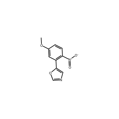 COc1ccc([N+](=O)[O-])c(-c2cnco2)c1